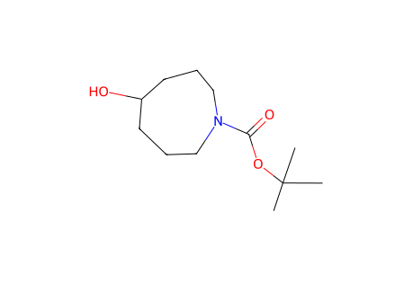 CC(C)(C)OC(=O)N1CCCC(O)CCC1